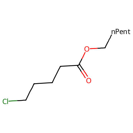 CCCCCCOC(=O)CCCCCl